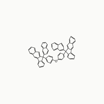 c1ccc2c(c1)-c1cc3ccccc3cc1C2(c1ccc(Oc2ccc(C3(c4ccc5ccccc5c4)c4ccccc4-c4cc5ccccc5cc43)cc2)cc1)c1ccc2ccccc2c1